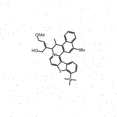 COC/C=C(\CO)C1C(C)c2c(cc(C(C)(C)C)c3ccccc23)-c2c3c(cc[n+]21)sc1c([Si](C)(C)C)cccc13